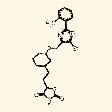 CCc1oc(-c2ccccc2C(F)(F)F)nc1CO[C@@H]1CCC[C@H](CCC2SC(=O)NC2=O)C1